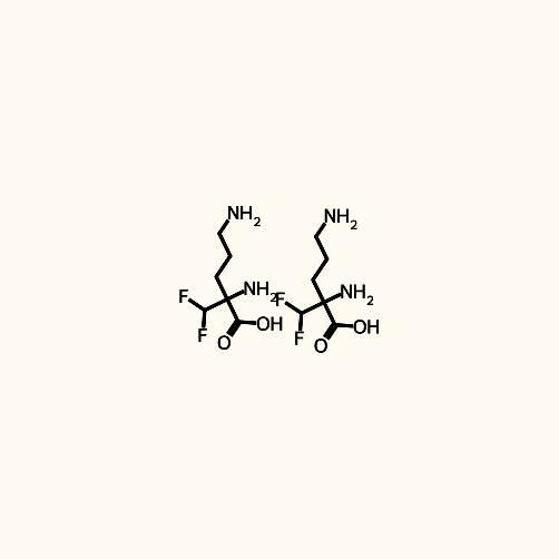 NCCCC(N)(C(=O)O)C(F)F.NCCCC(N)(C(=O)O)C(F)F